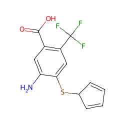 Nc1cc(C(=O)O)c(C(F)(F)F)cc1SC1C=CC=C1